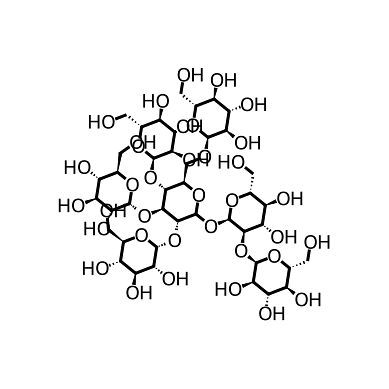 OC[C@H]1O[C@H](O[C@H]2C(O[C@H]3O[C@H](CO)[C@@H](O)[C@H](O)[C@H]3O[C@H]3O[C@H](CO)[C@@H](O)[C@H](O)[C@H]3O)O[C@H](CO[C@H]3O[C@H](CO)[C@@H](O)[C@H](O)[C@H]3O)[C@@H](O[C@H]3O[C@H](CO)[C@@H](O)[C@H](O)[C@H]3O)[C@@H]2O[C@H]2O[C@H](CO)[C@@H](O)[C@H](O)[C@H]2O)[C@H](O)[C@@H](O)[C@@H]1O